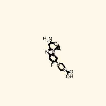 NC(=O)Cc1nc2cc(F)c(N3CCN(C(=O)O)CC3)cc2n1C1CC1